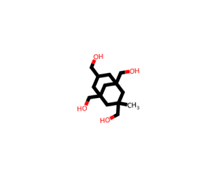 CC1(CO)CC2(CO)CC(CO)CC(CO)(C1)C2